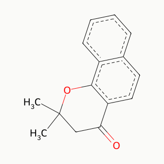 CC1(C)CC(=O)c2ccc3ccccc3c2O1